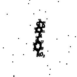 O=[N+]([O-])c1ccc(C=Nc2ccc3c(c2)OCCO3)cc1